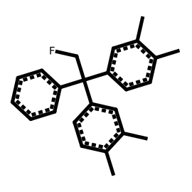 Cc1ccc(C(CF)(c2ccccc2)c2ccc(C)c(C)c2)cc1C